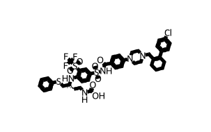 O=C(O)NCC[C@H](CSc1ccccc1)Nc1ccc(S(=O)(=O)NC(=O)c2ccc(N3CCN(CC4=C(c5ccc(Cl)cc5)CCCC4)CC3)cc2)cc1S(=O)(=O)C(F)(F)F